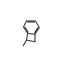 CC1Cc2ccccc21